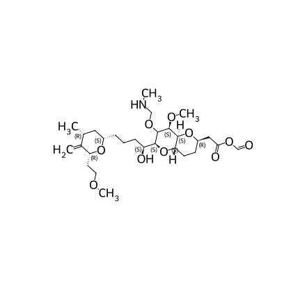 C=C1[C@H](C)C[C@H](CCC[C@H](O)[C@@H]2O[C@H]3CC[C@H](CC(=O)OC=O)O[C@@H]3[C@H](OC)C2OCNC)O[C@@H]1CCOC